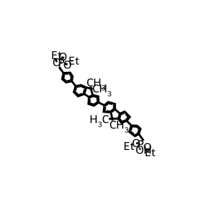 CCOP(=O)(Cc1ccc(-c2ccc3c(c2)C(C)(C)c2cc(-c4ccc5c(c4)C(C)(C)c4cc(-c6ccc(C=P(O)(OCC)OCC)cc6)ccc4-5)ccc2-3)cc1)OCC